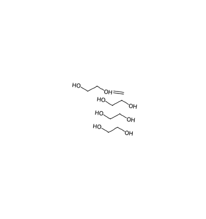 C=C.OCCO.OCCO.OCCO.OCCO